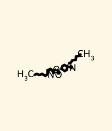 CCCCCCC[C@]1(C#N)CC[C@H](C(=O)Oc2ccc(CCCCCC)nc2)CC1